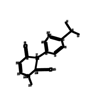 CC(C)c1ccc(-n2c(=O)ccn(C)c2=O)cn1